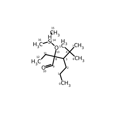 CCCC(C(C)(C)C)C(C=O)(CC)O[SiH](C)C